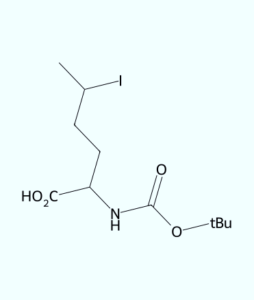 CC(I)CCC(NC(=O)OC(C)(C)C)C(=O)O